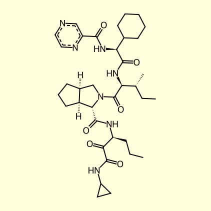 CCC[C@H](NC(=O)[C@@H]1[C@H]2CCC[C@H]2CN1C(=O)[C@@H](NC(=O)[C@@H](NC(=O)c1cnccn1)C1CCCCC1)[C@H](C)CC)C(=O)C(=O)NC1CC1